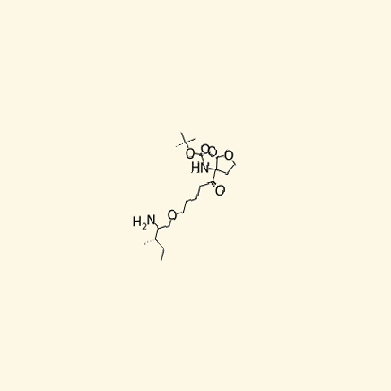 CC[C@H](C)C(N)COCCCCC(=O)[C@@]1(NC(=O)OC(C)(C)C)CCOC1=O